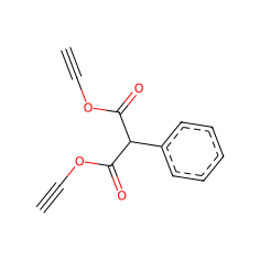 C#COC(=O)C(C(=O)OC#C)c1ccccc1